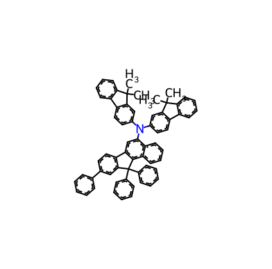 CC1(C)c2ccccc2-c2ccc(N(c3ccc4c(c3)C(C)(C)c3ccccc3-4)c3cc4c(c5ccccc35)C(c3ccccc3)(c3ccccc3)c3cc(-c5ccccc5)ccc3-4)cc21